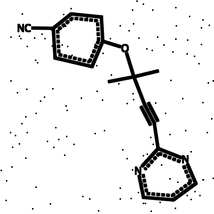 CC(C)(C#Cc1ncccn1)Oc1ccc(C#N)cc1